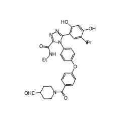 CCNC(=O)c1nnc(-c2cc(C(C)C)c(O)cc2O)n1-c1ccc(Oc2ccc(C(=O)N3CCC(C=O)CC3)cc2)cc1